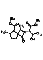 CC1CCC2(C(=O)N([C@H](C(=O)NC(C)(C)C)[C@@H](C)O)C2C)N1C(=O)OC(C)(C)C